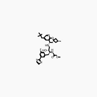 COCC(=O)N[C@@H](Cc1cc(F)cc(-c2nccs2)c1)[C@H](O)CN[C@H]1C[C@]2(C[C@H](C)C2)Oc2ncc(CC(C)(C)C)cc21